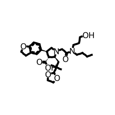 CCCCN(CCCO)C(=O)CN1C[C@H](c2ccc3c(c2)CCO3)[C@@H](C(=O)O)[C@@H]1CC(C)(C)C1OCCO1